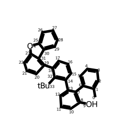 Cc1ccccc1-c1c(O)cccc1-c1cccc(-c2cccc3oc4ccccc4c23)c1C(C)(C)C